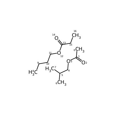 CC(=O)OCC(C)C.CCCCOC(=O)CC